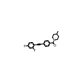 CC1CCN(C(=O)c2ccc(C#Cc3ccc(F)cc3F)cc2)CC1